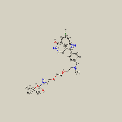 CN(CCOCCOCCNC(=O)OC(C)(C)C)Cc1ccc(-c2[nH]c3cc(F)cc4c3c2CCNC4=O)cc1